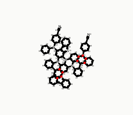 N#Cc1ccc(N(c2ccccc2)c2ccc3c(c2)N(c2ccccc2-c2ccccc2)c2cc(-n4c5ccccc5c5ccccc54)cc4c2B3c2c(cc(N(c3ccccc3)c3ccc(C#N)cc3)c3c2sc2ccccc23)N4c2ccccc2-c2ccccc2)cc1